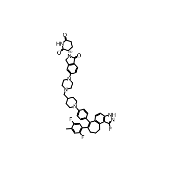 Cc1cc(F)c(C2=C(c3ccc(N4CCC(CN5CCN(c6ccc7c(c6)CN([C@H]6CCC(=O)NC6=O)C7=O)CC5)CC4)cc3)c3ccc4[nH]nc(F)c4c3CCC2)cc1F